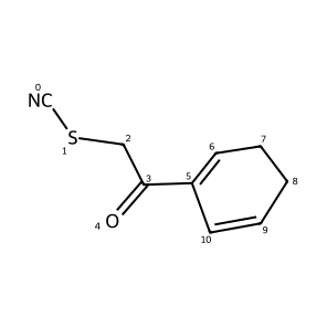 N#CSCC(=O)C1=CCCC=C1